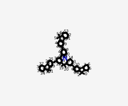 CC1(C)c2ccccc2-c2cc(-c3ccc4c(c3)C(C)(C)c3cc(-c5ccc6c(c5)C(C)(C)c5ccccc5-6)cc5c6cc(-c7ccc8c(c7)-c7ccccc7C8(C)C)ccc6n-4c35)ccc21